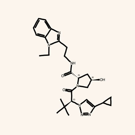 CCn1c(CCNC(=O)[C@@H]2C[C@@H](O)CN2C(=O)[C@@H](n2cc(C3CC3)nn2)C(C)(C)C)nc2ccccc21